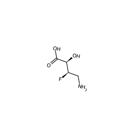 NC[C@@H](F)[C@H](O)C(=O)O